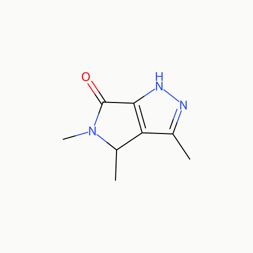 Cc1n[nH]c2c1C(C)N(C)C2=O